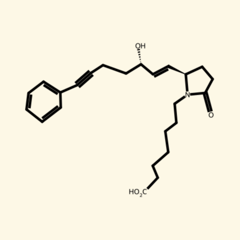 O=C(O)CCCCCCN1C(=O)CC[C@@H]1C=C[C@@H](O)CCC#Cc1ccccc1